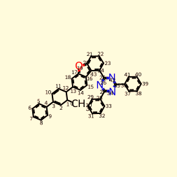 CC1C=C(c2ccccc2)C=CC1c1ccc2c(c1)oc1cccc(-c3nc(-c4ccccc4)nc(-c4ccccc4)n3)c12